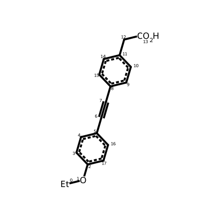 CCOc1ccc(C#Cc2ccc(CC(=O)O)cc2)cc1